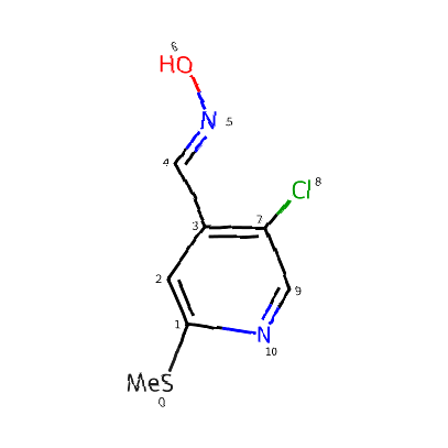 CSc1cc(C=NO)c(Cl)cn1